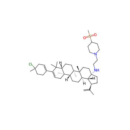 C=C(C)[C@@H]1CC[C@]2(NCCN3CCC(S(C)(=O)=O)CC3)CC[C@]3(C)[C@H](CC[C@@H]4[C@@]5(C)CC=C(C6=CCC(C)(Cl)CC6)C(C)(C)[C@@H]5CC[C@]43C)[C@@H]12